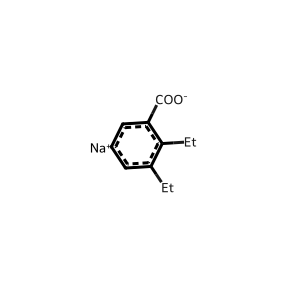 CCc1cccc(C(=O)[O-])c1CC.[Na+]